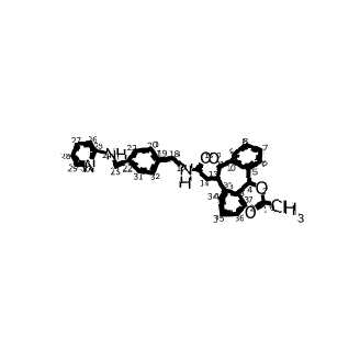 CC(=O)OC1c2ccccc2C(=O)C(CC(=O)NCc2ccc(CNc3ccccn3)cc2)c2ccccc21